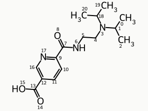 CC(C)N(CCNC(=O)c1ccc(C(=O)O)cn1)C(C)C